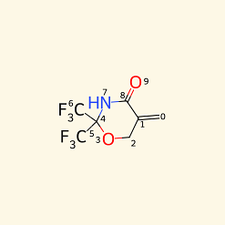 C=C1COC(C(F)(F)F)(C(F)(F)F)NC1=O